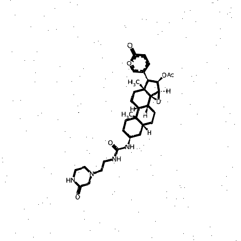 CC(=O)O[C@H]1[C@H]2O[C@]23[C@@H]2CC[C@@H]4C[C@@H](NC(=O)NCCN5CCNC(=O)C5)CC[C@]4(C)[C@H]2CC[C@]3(C)[C@H]1c1ccc(=O)oc1